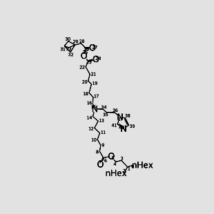 CCCCCCC(CCCCCC)CCOC(=O)CCCCCCCN(CCCCCCCC(=O)OC(=O)CC12CC(C1)C2)CCCn1ccnc1